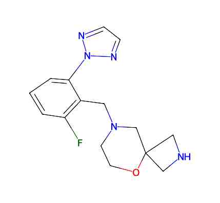 Fc1cccc(-n2nccn2)c1CN1CCOC2(CNC2)C1